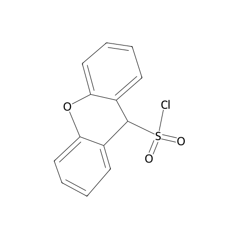 O=S(=O)(Cl)C1c2ccccc2Oc2ccccc21